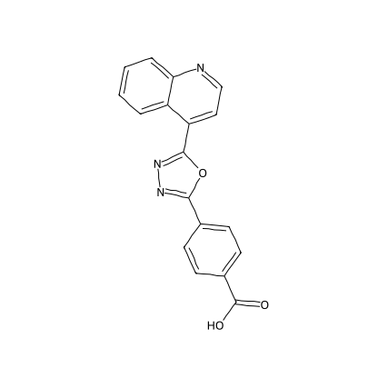 O=C(O)c1ccc(-c2nnc(-c3ccnc4ccccc34)o2)cc1